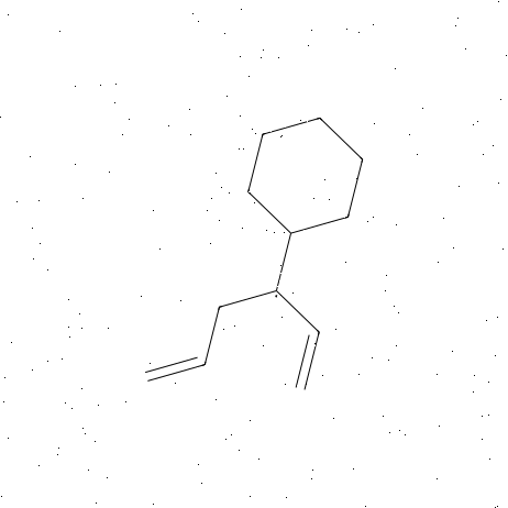 C=CC[C](C=C)C1CCCCC1